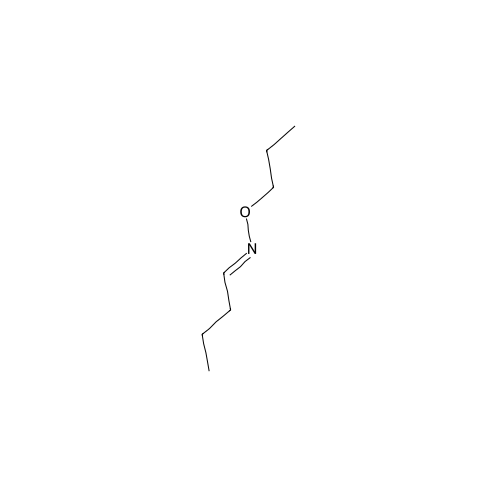 CCCC=NOCCC